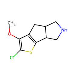 COc1c(Cl)sc2c1CC1CNCC21